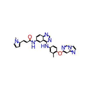 Cc1cc(Nc2ncnc3ccc(NC(=O)/C=C/c4cccn4C)cc23)ccc1Oc1cc2nccn2cn1